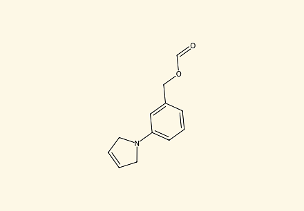 O=COCc1cccc(N2CC=CC2)c1